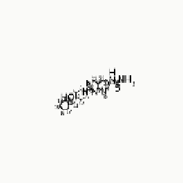 CN(C)c1nc(N2CCC(O)(Cc3ccccc3)CC2)ncc1C=NNC(N)=S